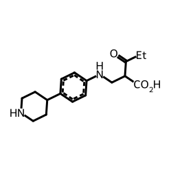 CCC(=O)C(CNc1ccc(C2CCNCC2)cc1)C(=O)O